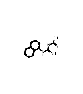 N=C(NC(=S)S)Nc1cccc2ccccc12